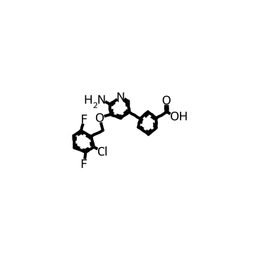 Nc1ncc(-c2cccc(C(=O)O)c2)cc1OCc1c(F)ccc(F)c1Cl